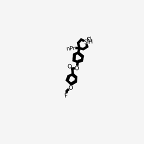 CCCC1(c2ccc(OC(=O)c3ccc(OCF)cc3)cc2)CC[SiH](Cl)CC1